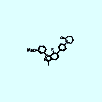 COc1cccc(-n2nc(C)c3ccc(-c4ccc(N5CCCCC5=O)cc4)c(F)c32)c1